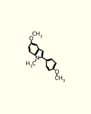 COc1ccc(-c2cc3cc(OC)ccc3n2C)cc1